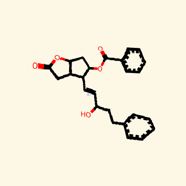 O=C1CC2C(CC(OC(=O)c3ccccc3)C2/C=C/C(O)CCc2ccccc2)O1